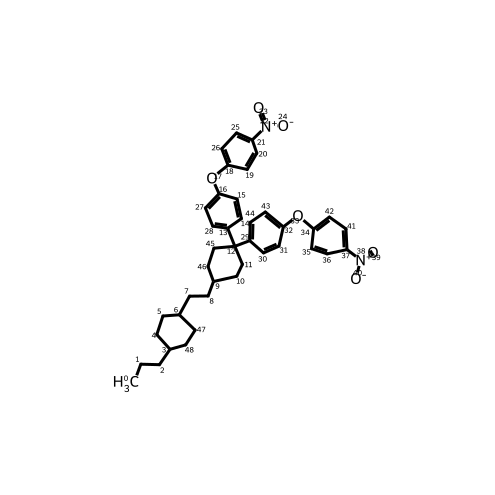 CCCC1CCC(CCC2CCC(c3ccc(Oc4ccc([N+](=O)[O-])cc4)cc3)(c3ccc(Oc4ccc([N+](=O)[O-])cc4)cc3)CC2)CC1